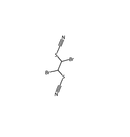 N#CSC(Br)C(Br)SC#N